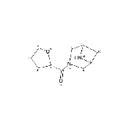 O=C([C@@H]1CCCO1)N1CC2CC(C1)N2